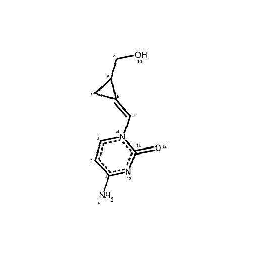 Nc1ccn(C=C2CC2CO)c(=O)n1